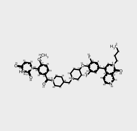 CCCCn1cc(-c2cc(F)c(OC3CCN(CC4CCN(C(=O)c5ccc(OC)c(-n6ccc(=O)[nH]c6=O)c5)CC4)CC3)c(F)c2)c2ccncc2c1=O